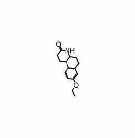 CCOc1ccc2c(c1)CCC1NC(=O)CCC21